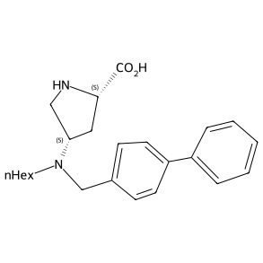 CCCCCCN(Cc1ccc(-c2ccccc2)cc1)[C@@H]1CN[C@H](C(=O)O)C1